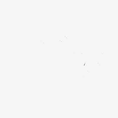 O=C(c1cnn2cc(N3CCC(O)CC3)ccc12)N1CCc2[nH]cnc2[C@H]1c1nc2cc(F)cc(F)c2o1